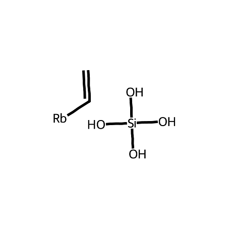 C=[CH][Rb].O[Si](O)(O)O